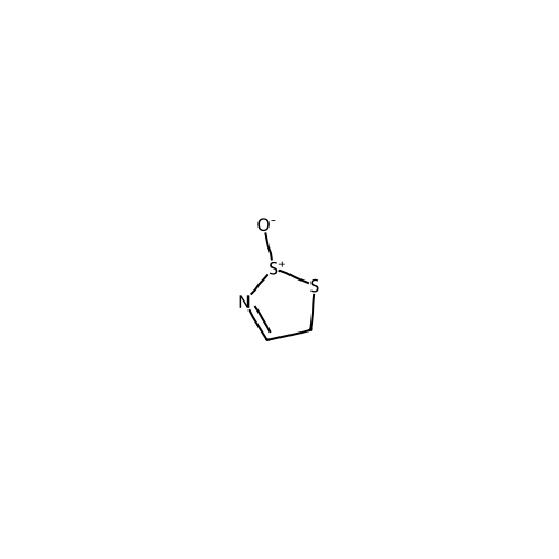 [O-][S+]1N=CCS1